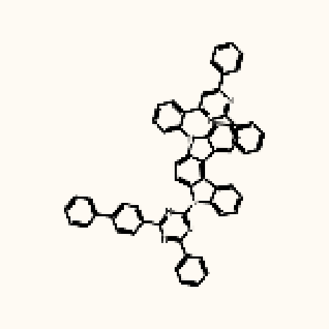 c1ccc(-c2ccc(-c3nc(-c4ccccc4)nc(-n4c5ccccc5c5c6c7ccccc7n(-c7ccccc7-c7cc(-c8ccccc8)nc(-c8ccccc8)n7)c6ccc54)n3)cc2)cc1